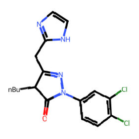 CCCCC1C(=O)N(c2ccc(Cl)c(Cl)c2)N=C1Cc1ncc[nH]1